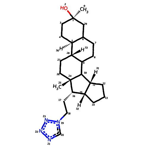 C[C@@]1(O)CC[C@H]2C(CCC3C4[C@@H]5CCC[C@@H]5[C@H](CCn5cnnn5)[C@]4(C)CC[C@@H]32)C1